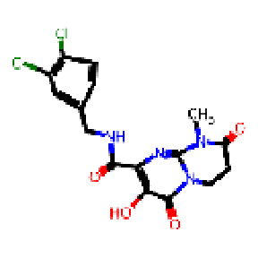 CN1C(=O)CCn2c1nc(C(=O)NCc1ccc(Cl)c(Cl)c1)c(O)c2=O